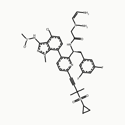 Cn1nc(N[S+](C)[O-])c2c(Cl)ccc(-c3ccc(C#CC(C)(C)S(=O)(=O)C4CC4)nc3[C@H](Cc3cc(F)cc(F)c3)NC(=O)CN(N)/C=C\N)c21